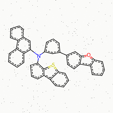 c1cc(-c2ccc3c(c2)oc2ccccc23)cc(N(c2cc3ccccc3c3ccccc23)c2cccc3c2sc2ccccc23)c1